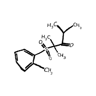 Cc1ccccc1S(=O)(=O)C(C)(C)C(=O)C(C)C